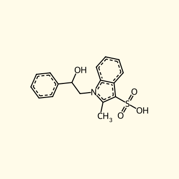 Cc1c(S(=O)(=O)O)c2ccccc2n1CC(O)c1ccccc1